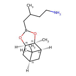 CC(CCN)CB1O[C@@H]2C[C@@H]3C[C@@H](C3(C)C)[C@]2(C)O1